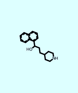 OC(CCC1CCNCC1)c1cccc2ccccc12